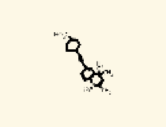 CC1=CC(C)(C)c2cc(C#CC3CC=C(C(=O)O)CC3)ccc2N1C(C)C